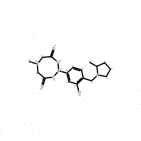 CC1CCCN1Cc1ccc(B2OC(=O)CN(C)CC(=O)O2)cc1Cl